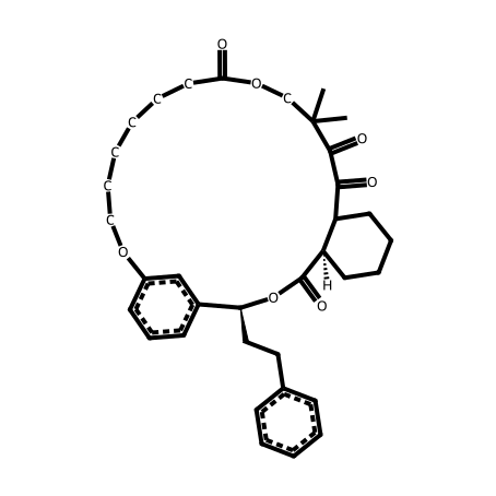 CC1(C)COC(=O)CCCCCCOc2cccc(c2)[C@H](CCc2ccccc2)OC(=O)[C@@H]2CCCCC2C(=O)C1=O